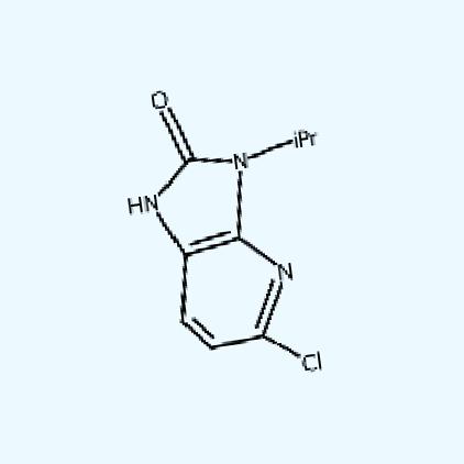 CC(C)n1c(=O)[nH]c2ccc(Cl)nc21